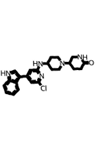 O=C1CCC(N2CCC(Nc3cc(-c4c[nH]c5ccccc45)cc(Cl)n3)CC2)CN1